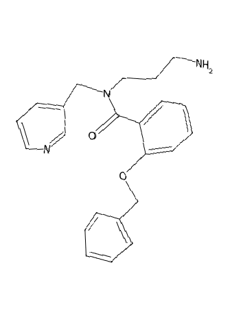 NCCCN(Cc1cccnc1)C(=O)c1ccccc1OCc1ccccc1